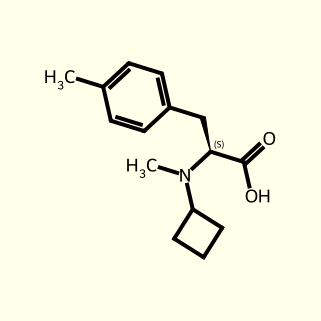 Cc1ccc(C[C@@H](C(=O)O)N(C)C2CCC2)cc1